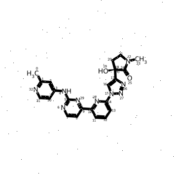 Cc1cc(Nc2nccc(-c3cccc(-n4cc([C@]5(O)CCN(C)C5=O)nn4)n3)n2)ccn1